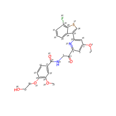 COc1cc(C(=O)CNC(=O)c2ccc(OCCO)c(OC)c2)nc(-c2csc3c(F)cccc23)c1